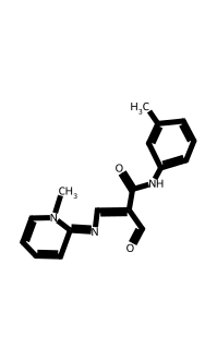 Cc1cccc(NC(=O)/C(C=O)=C/N=c2/ccccn2C)c1